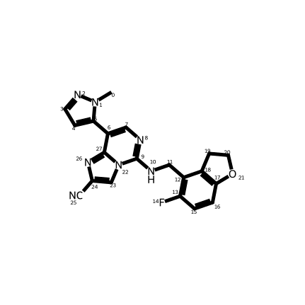 Cn1nccc1-c1cnc(NCc2c(F)ccc3c2CCO3)n2cc(C#N)nc12